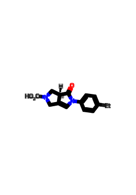 CCc1ccc(N2C=C3CN(C(=O)O)C[C@H]3C2=O)cc1